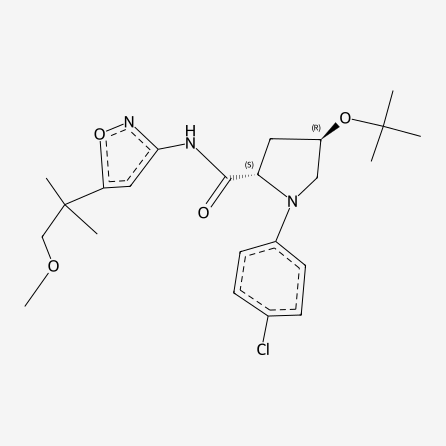 COCC(C)(C)c1cc(NC(=O)[C@@H]2C[C@@H](OC(C)(C)C)CN2c2ccc(Cl)cc2)no1